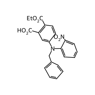 CCOC(=O)c1ccc(N(Cc2ccccc2)c2ccccc2[N+](=O)[O-])cc1C(=O)O